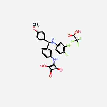 COc1ccc(C(Nc2ccc(F)c(F)c2)c2cccc(Nc3c(O)c(=O)c3=O)c2)cc1.O=C(O)C(F)(F)F